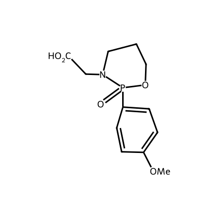 COc1ccc(P2(=O)OCCCN2CC(=O)O)cc1